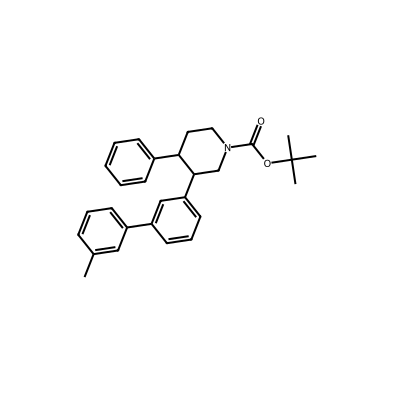 Cc1cccc(-c2cccc(C3CN(C(=O)OC(C)(C)C)CCC3c3ccccc3)c2)c1